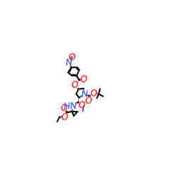 CCOC(=O)[C@@]1(NC(=O)[C@@H]2C[C@@H](OC(=O)c3ccc(N=O)cc3)CN2C(=O)OC(C)(C)C)C[C@H]1I